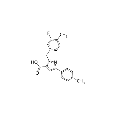 Cc1ccc(-c2cc(C(=O)O)n(Cc3ccc(C)c(F)c3)n2)cc1